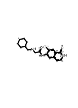 O=C(CNCC1CCCCC1)Nc1cc2cc[nH]c(=O)c2cc1Cl